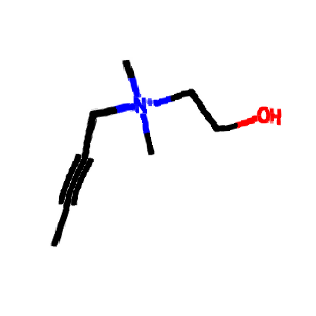 CC#CC[N+](C)(C)CCO